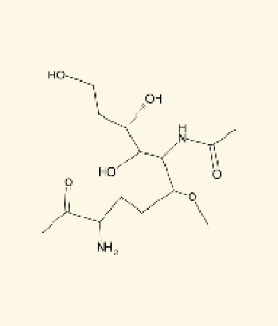 COC(CCC(N)C(C)=O)C(NC(C)=O)C(O)[C@@H](O)CCO